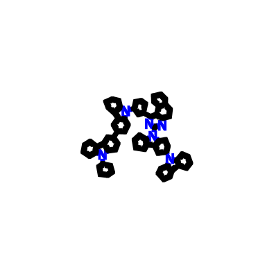 c1ccc(-n2c3ccccc3c3cc(-c4ccc5c(c4)c4ccccc4n5-c4cccc(-c5nc(-n6c7ccccc7c7cc(-n8c9ccccc9c9ccccc98)ccc76)nc6ccc7ccccc7c56)c4)ccc32)cc1